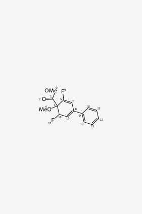 COC(=O)C1(OC)C(F)=CC(c2ccccc2)=CC1F